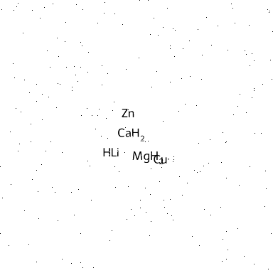 [CaH2].[Cu].[LiH].[MgH2].[Zn]